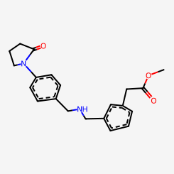 COC(=O)Cc1cccc(CNCc2ccc(N3CCCC3=O)cc2)c1